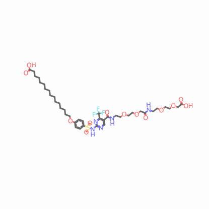 O=C(O)CCCCCCCCCCCCCCCOc1ccc(S(=O)(=O)Nc2ncc(C(=O)NCCOCCOCC(=O)NCCOCCOCC(=O)O)c(C(F)(F)F)n2)cc1